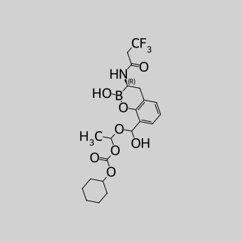 CC(OC(=O)OC1CCCCC1)OC(O)c1cccc2c1OB(O)[C@@H](NC(=O)CC(F)(F)F)C2